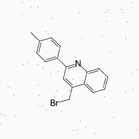 Cc1ccc(-c2cc(CBr)c3ccccc3n2)cc1